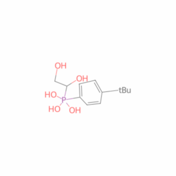 CC(C)(C)c1ccc(P(O)(O)(O)C(O)CO)cc1